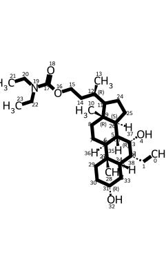 CC[C@H]1[C@@H](O)[C@@H]2[C@H](CC[C@]3(C)C([C@H](C)CCOC(=O)N(CC)CC)CC[C@@H]23)[C@@]2(C)CC[C@@H](O)C[C@@H]12